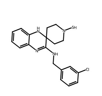 SN1CCC2(CC1)Nc1ccccc1N=C2NCc1cccc(Cl)c1